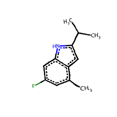 Cc1cc(F)cc2[nH]c(C(C)C)cc12